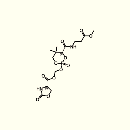 COC(=O)CCNC(=O)[C@@H]1OP(=O)(OCOC(=O)[C@@H]2COC(=O)N2)OCC1(C)C